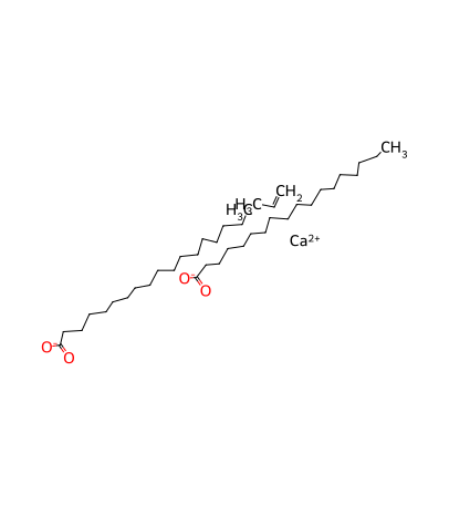 C=CC.CCCCCCCCCCCCCCCCCC(=O)[O-].CCCCCCCCCCCCCCCCCC(=O)[O-].[Ca+2]